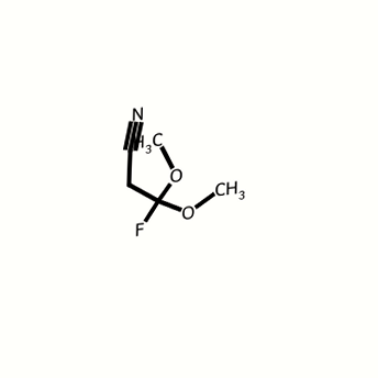 COC(F)(CC#N)OC